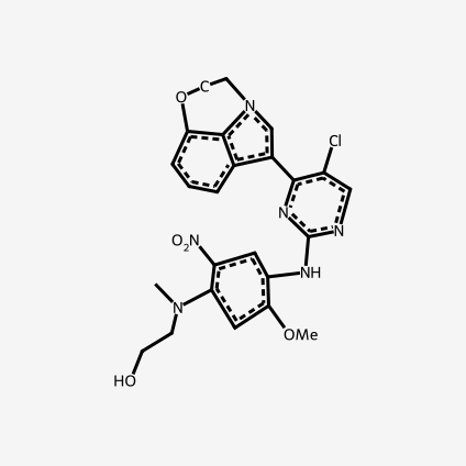 COc1cc(N(C)CCO)c([N+](=O)[O-])cc1Nc1ncc(Cl)c(-c2cn3c4c(cccc24)OCC3)n1